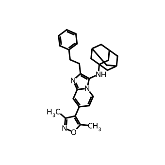 Cc1noc(C)c1-c1ccn2c(NC34CC5CC(CC(C5)C3)C4)c(CCc3ccccc3)nc2c1